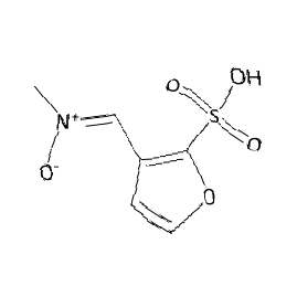 C[N+]([O-])=Cc1ccoc1S(=O)(=O)O